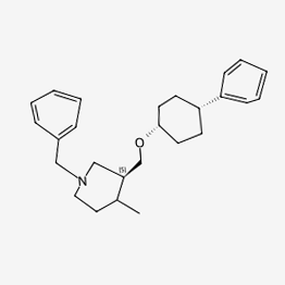 CC1CCN(Cc2ccccc2)C[C@H]1CO[C@H]1CC[C@@H](c2ccccc2)CC1